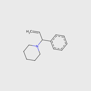 C=CC(c1ccccc1)N1CCCCC1